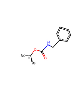 CC(C)[C@@H](C#N)OC(=O)NCc1ccccc1